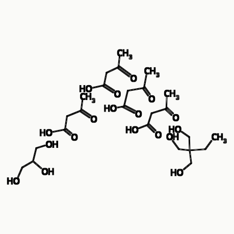 CC(=O)CC(=O)O.CC(=O)CC(=O)O.CC(=O)CC(=O)O.CC(=O)CC(=O)O.CCC(CO)(CO)CO.OCC(O)CO